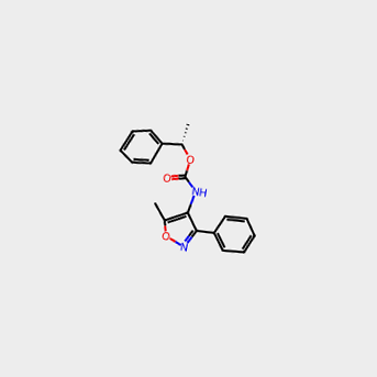 Cc1onc(-c2ccccc2)c1NC(=O)O[C@@H](C)c1ccccc1